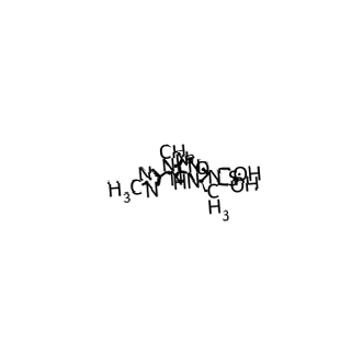 CC[C@@H](Nc1ncnc2c1nc(-c1cnc(C)nc1)n2CC)C(=O)N1CCS(O)(O)CC1